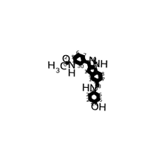 CC(=O)Nc1cccc(-c2n[nH]c3c2Cc2cc(CN[C@H]4CC[C@H](O)CC4)ccc2-3)c1